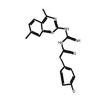 Cc1ccc2c(C)nc(NC(=N)NC(=O)Cc3ccc(Cl)cc3)nc2c1